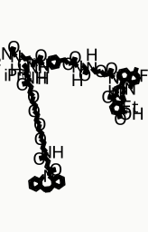 CC[C@@]1(O)C(=O)CCc2c1cc1n(c2=O)Cc2c-1nc1cc(F)c(C)c3c1c2[C@@H](NC(=O)COCNC(=O)CNC(=O)OCc1ccc(NC(=O)[C@H](CCCNC(N)=O)NC(=O)[C@@H](NC(=O)CCOCCOCCOCCOCCNC(=O)CCC(=O)N2Cc4ccccc4C#Cc4ccccc42)C(C)C)cc1)CC3